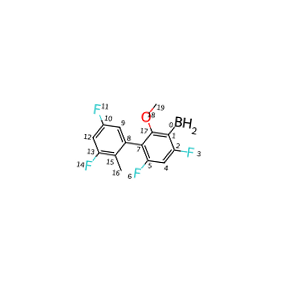 Bc1c(F)cc(F)c(-c2cc(F)cc(F)c2C)c1OC